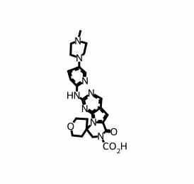 CN1CCN(c2ccc(Nc3ncc4cc5n(c4n3)C3(CCOCC3)CN(C(=O)O)C5=O)nc2)CC1